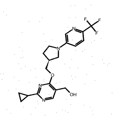 OCc1cnc(C2CC2)nc1OC[C@H]1CCN(c2ccc(C(F)(F)F)nc2)C1